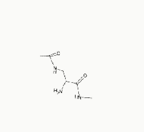 CNC(=O)C(N)CNC(C)=O